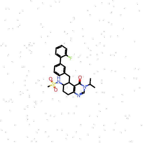 CC(C)n1cnc2c(c1=O)C(Cc1cccc(-c3ccccc3F)c1)C(NS(C)(=O)=O)CC2